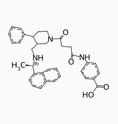 C[C@@H](NCC1CN(C(=O)CCC(=O)Nc2ccc(C(=O)O)cc2)CCC1c1ccccc1)c1cccc2ccccc12